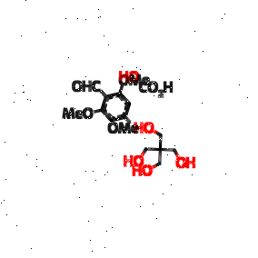 COc1cc(OC)c(C=O)c(OC)c1.O=C(O)O.OCC(CO)(CO)CO